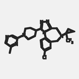 Cc1cncc(N2CCC(c3nnc4n3-c3ccc(Cl)cc3CN(C3(C(F)(F)F)CC3)C4)CC2)n1